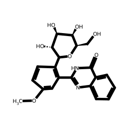 COc1ccc(C2O[C@H](CO)[C@H](O)[C@H](O)[C@H]2O)c(-c2nc3ccccc3c(=O)[nH]2)c1